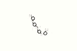 Nc1cccc(Oc2ccc(NC(=O)c3ccc(Oc4cccc(N)c4)cc3)cc2)c1